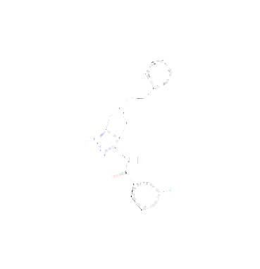 O=C(Nc1n[nH]c2c1CN(CCc1ccccc1)C2)c1cccc(F)c1